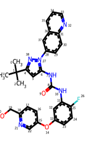 CC(C)(C)c1cc(NC(=O)Nc2cc(Oc3ccc(CO)nc3)ccc2F)n(-c2ccc3ncccc3c2)n1